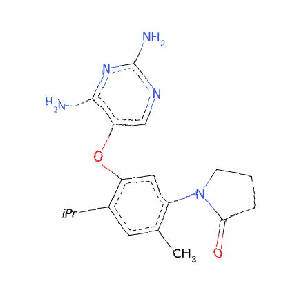 Cc1cc(C(C)C)c(Oc2cnc(N)nc2N)cc1N1CCCC1=O